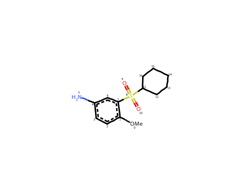 COc1ccc(N)cc1S(=O)(=O)C1CCCCC1